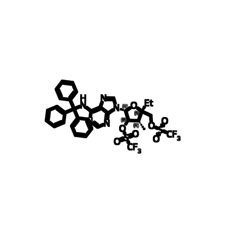 CC[C@]1(COS(=O)(=O)C(F)(F)F)O[C@@H](n2cnc3c(NC(c4ccccc4)(c4ccccc4)c4ccccc4)ncnc32)[C@H](OS(=O)(=O)C(F)(F)F)[C@H]1C